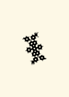 Cc1ccc(N(c2ccc(C(C)(C)C)cc2)c2ccc3c4c(-c5ccccc5)c5c6cccc7c(N(c8ccc(C)cc8)c8ccc(C(C)(C)C)cc8)ccc(c5c(-c5ccccc5)c4c4cccc2c43)c76)cc1